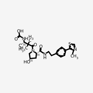 Cc1ncsc1-c1ccc(CCNC(=O)[C@@H]2C[C@H](O)CN2C(=O)C(C)(C)[C@H](C)NC(=O)O)cc1